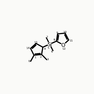 CC1=C(C)C([Si](C)(C)c2ccco2)C=C1